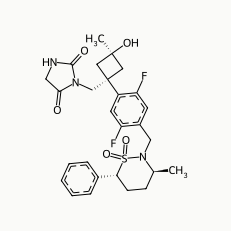 C[C@H]1CC[C@H](c2ccccc2)S(=O)(=O)N1Cc1cc(F)c([C@]2(CN3C(=O)CNC3=O)C[C@](C)(O)C2)cc1F